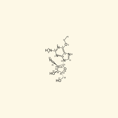 CCOc1nc(N)nc2c1ncn2[C@@H]1O[C@H](CO)[C@@H](O)[C@H]1C#N